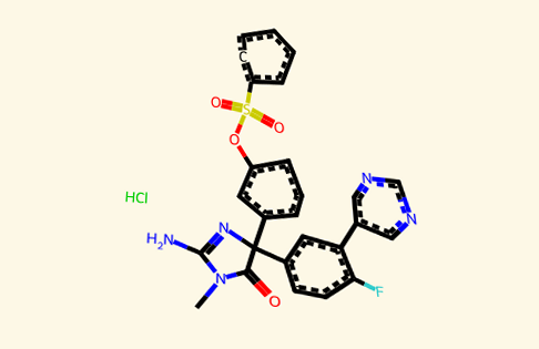 CN1C(=O)C(c2cccc(OS(=O)(=O)c3ccccc3)c2)(c2ccc(F)c(-c3cncnc3)c2)N=C1N.Cl